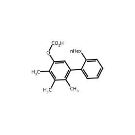 CCCCCCc1ccccc1-c1cc(OC(=O)O)c(C)c(C)c1C